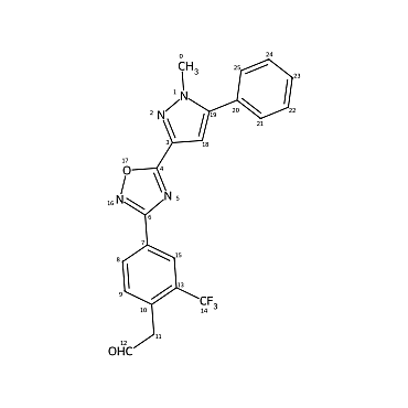 Cn1nc(-c2nc(-c3ccc(CC=O)c(C(F)(F)F)c3)no2)cc1-c1ccccc1